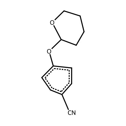 N#Cc1ccc(OC2CCCCO2)cc1